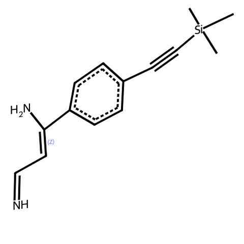 C[Si](C)(C)C#Cc1ccc(/C(N)=C/C=N)cc1